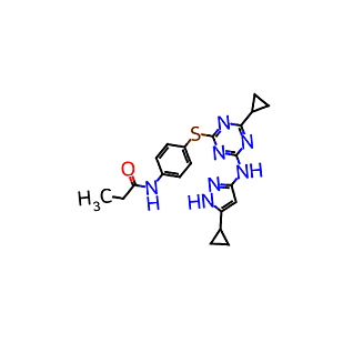 CCC(=O)Nc1ccc(Sc2nc(Nc3cc(C4CC4)[nH]n3)nc(C3CC3)n2)cc1